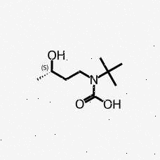 C[C@H](O)CCN(C(=O)O)C(C)(C)C